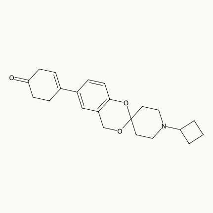 O=C1CC=C(c2ccc3c(c2)COC2(CCN(C4CCC4)CC2)O3)CC1